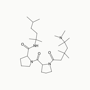 CC(C)CCC(C)(C)NC(=O)C1CCCN1C(=O)C1CCCN1C(=O)CC(C)(C)CC(C)(C)N(C)C